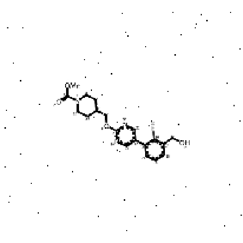 COC(=O)N1CCC(COc2ncc(-c3cccc(CO)c3F)cn2)CC1